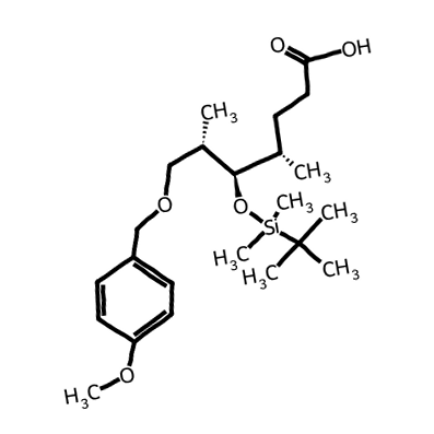 COc1ccc(COC[C@H](C)[C@H](O[Si](C)(C)C(C)(C)C)[C@@H](C)CCC(=O)O)cc1